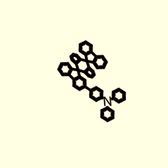 c1ccc(N(c2ccccc2)c2ccc(-c3ccc4c(c3)C3(c5ccccc5-4)c4ccccc4C4(c5ccccc5-c5ccccc54)c4ccccc43)cc2)cc1